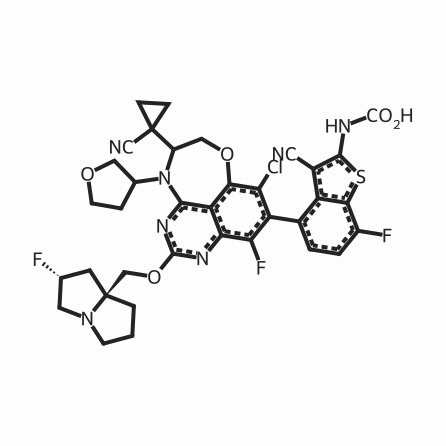 N#Cc1c(NC(=O)O)sc2c(F)ccc(-c3c(Cl)c4c5c(nc(OC[C@@]67CCCN6C[C@H](F)C7)nc5c3F)N(C3CCOC3)C(C3(C#N)CC3)CO4)c12